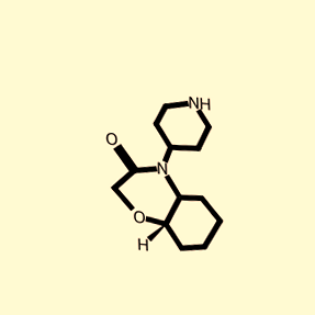 O=C1CO[C@H]2CCCCC2N1C1CCNCC1